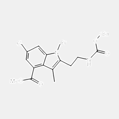 COC(=O)c1cc(Cl)cc2c1c(C)c(CCNC(=O)OC(C)(C)C)n2C(C)C